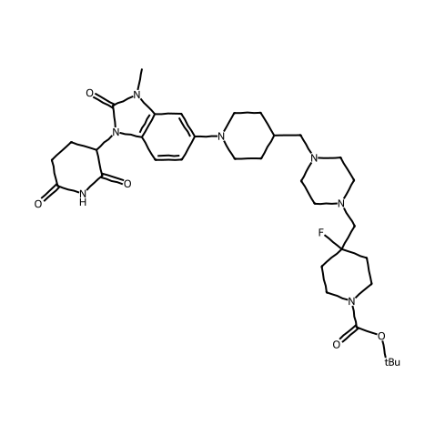 Cn1c(=O)n(C2CCC(=O)NC2=O)c2ccc(N3CCC(CN4CCN(CC5(F)CCN(C(=O)OC(C)(C)C)CC5)CC4)CC3)cc21